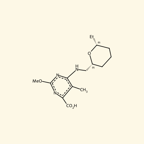 CC[C@@H]1CCC[C@H](CNc2nc(OC)nc(C(=O)O)c2C)O1